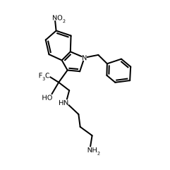 NCCCNCC(O)(c1cn(Cc2ccccc2)c2cc([N+](=O)[O-])ccc12)C(F)(F)F